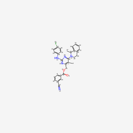 Cc1c(COC(=O)c2cccc(C#N)c2)nc(Nc2ccc(F)cc2)nc1N1CCc2ccccc2C1C